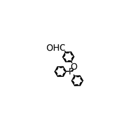 O=Cc1ccc(OP(c2ccccc2)c2ccccc2)cc1